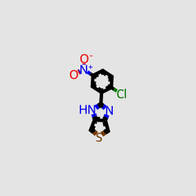 O=[N+]([O-])c1ccc(Cl)c(-c2nc3cscc3[nH]2)c1